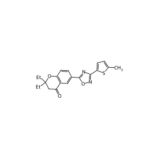 CCC1(CC)CC(=O)c2cc(-c3nc(-c4ccc(C)s4)no3)ccc2O1